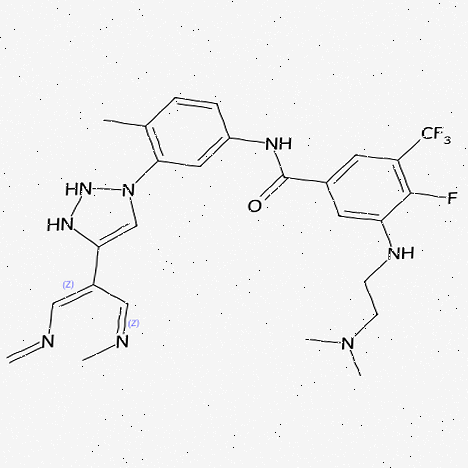 C=N/C=C(\C=N/C)C1=CN(c2cc(NC(=O)c3cc(NCCN(C)C)c(F)c(C(F)(F)F)c3)ccc2C)NN1